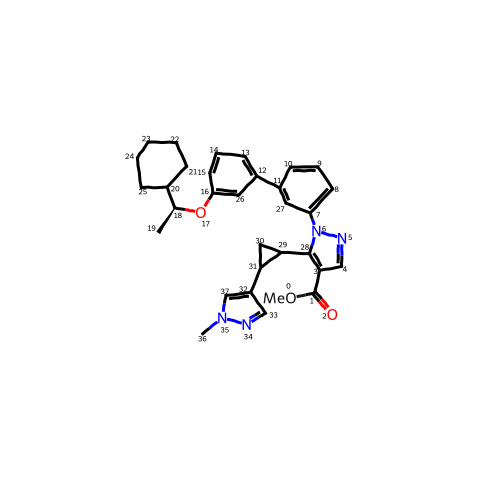 COC(=O)c1cnn(-c2cccc(-c3cccc(O[C@@H](C)C4CCCCC4)c3)c2)c1C1CC1c1cnn(C)c1